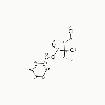 CCC(Cl)(CCCl)C(=O)OOc1ccccc1